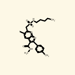 [CH2]CCCCNS(=O)(=O)Cc1nc2oc(-c3ccc(C)cc3)c(C(=O)NC)c2cc1I